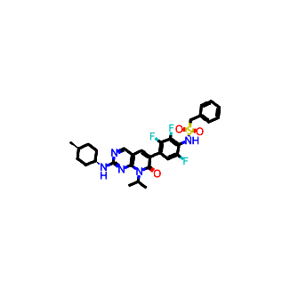 CC(C)n1c(=O)c(-c2cc(F)c(NS(=O)(=O)Cc3ccccc3)c(F)c2F)cc2cnc(N[C@H]3CC[C@H](C)CC3)nc21